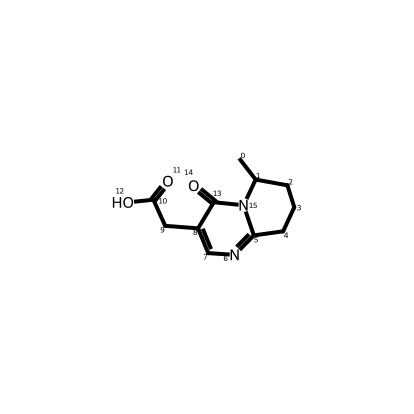 CC1CCCc2ncc(CC(=O)O)c(=O)n21